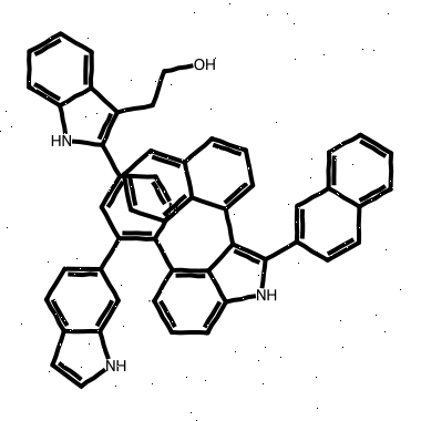 OCCc1c(-c2cnc(-c3[c]ccc4[nH]c(-c5ccc6ccccc6c5)c(-c5cccc6ccccc56)c34)c(-c3ccc4cc[nH]c4c3)c2)[nH]c2ccccc12